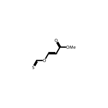 COC(=O)/[C]=C/OC=S